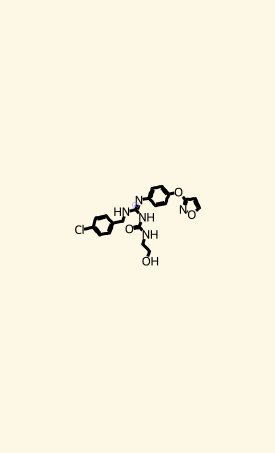 O=C(NCCO)N/C(=N\c1ccc(Oc2ccon2)cc1)NCc1ccc(Cl)cc1